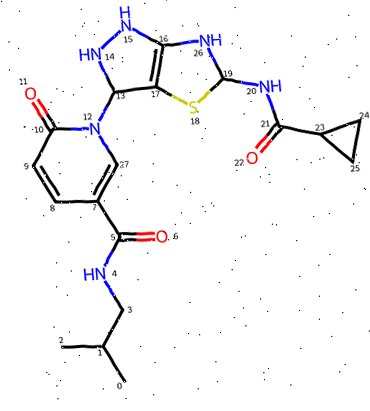 CC(C)CNC(=O)c1ccc(=O)n(C2NNC3=C2SC(NC(=O)C2CC2)N3)c1